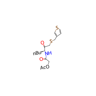 CCCC[C@H](NC(=O)COC(C)=O)C(=O)CSCc1ccsc1